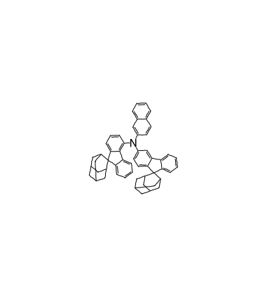 c1ccc2c(c1)-c1cc(N(c3ccc4ccccc4c3)c3cccc4c3-c3ccccc3C43C4CC5CC(C4)CC3C5)ccc1C21C2CC3CC(C2)CC1C3